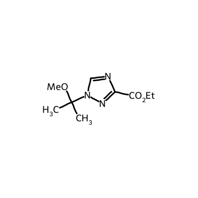 CCOC(=O)c1ncn(C(C)(C)OC)n1